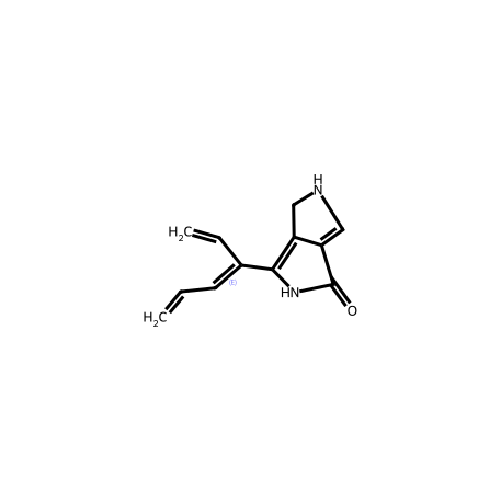 C=C/C=C(\C=C)C1=C2CNC=C2C(=O)N1